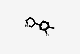 Clc1cc(C2CCCNC2)ccc1I